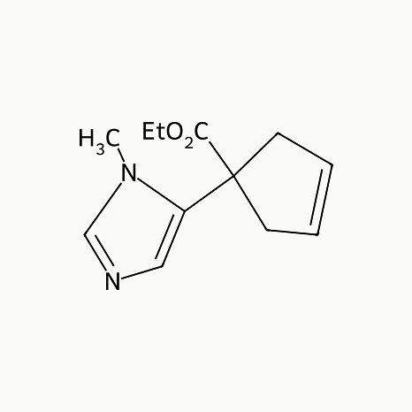 CCOC(=O)C1(c2cncn2C)CC=CC1